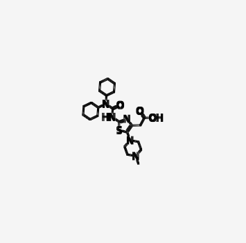 CN1CCN(c2sc(NC(=O)N(C3CCCCC3)C3CCCCC3)nc2CC(=O)O)CC1